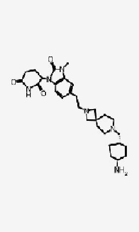 Cn1c(=O)n(C2CCC(=O)NC2=O)c2ccc(CCN3CC4(CCN(C[C@H]5CC[C@H](N)CC5)CC4)C3)cc21